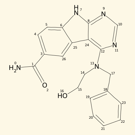 NC(=O)c1ccc2[nH]c3ncnc(N(CCO)Cc4ccccc4)c3c2c1